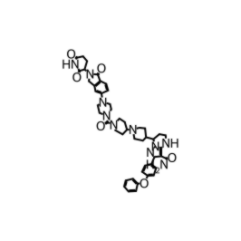 NC(=O)c1c(-c2ccc(Oc3ccccc3)cc2)nn2c1NCCC2C1CCN(C2CCN(C(=O)N3CCN(c4ccc5c(c4)CN(C4CCC(=O)NC4=O)C5=O)CC3)CC2)CC1